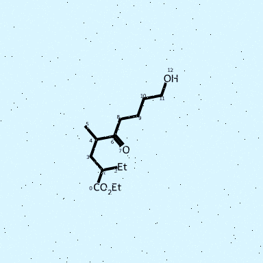 CCOC(=O)C(CC)CC(C)C(=O)CCCCO